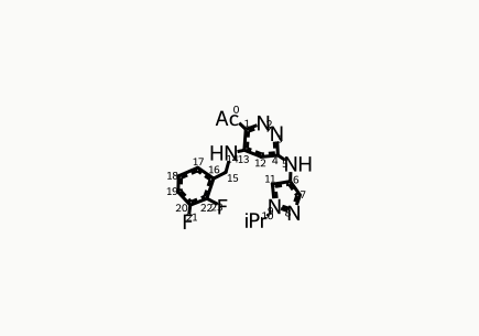 CC(=O)c1nnc(Nc2cnn(C(C)C)c2)cc1NCc1cccc(F)c1F